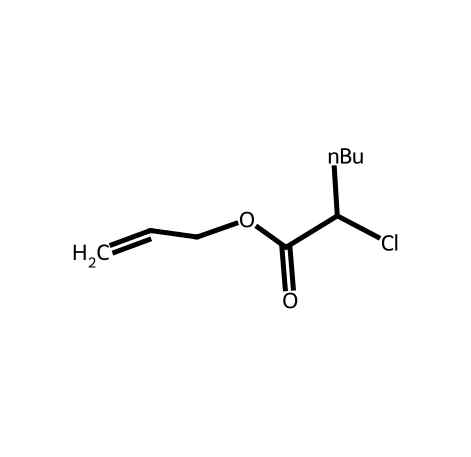 C=CCOC(=O)C(Cl)CCCC